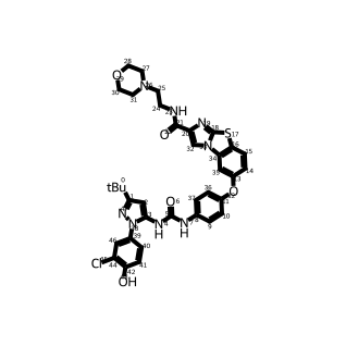 CC(C)(C)c1cc(NC(=O)Nc2ccc(Oc3ccc4sc5nc(C(=O)NCCN6CCOCC6)cn5c4c3)cc2)n(-c2ccc(O)c(Cl)c2)n1